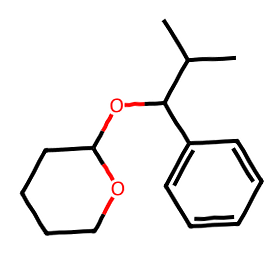 CC(C)C(OC1CCCCO1)c1ccccc1